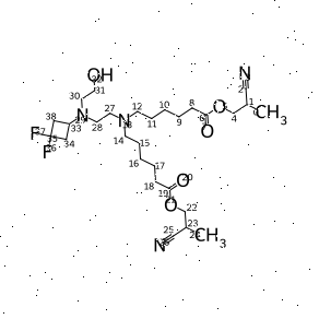 CC(C#N)COC(=O)CCCCCN(CCCCCC(=O)OCC(C)C#N)CCN(CCO)C1CC(F)(F)C1